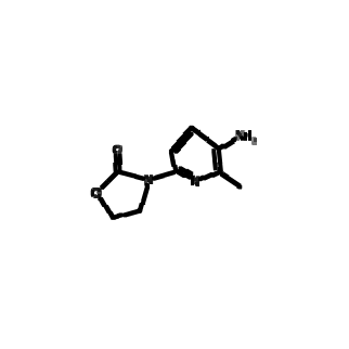 Cc1nc(N2CCOC2=O)ccc1N